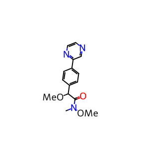 COC(C(=O)N(C)OC)c1ccc(-c2cnccn2)cc1